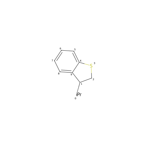 CC(C)C1CSc2ccccc21